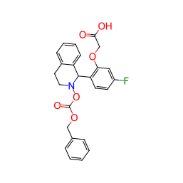 O=C(O)COc1cc(F)ccc1C1c2ccccc2CCN1OC(=O)OCc1ccccc1